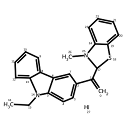 C=C(c1ccc2c(c1)c1ccccc1n2CC)C1Sc2ccccc2N1C.I